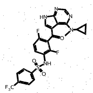 CN(c1ncnc2[nH]cc(C(=O)c3c(F)ccc(NS(=O)(=O)c4ccc(C(F)(F)F)cc4)c3F)c12)C1CC1